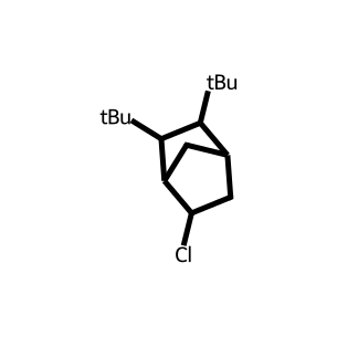 CC(C)(C)C1C2CC(Cl)C(C2)C1C(C)(C)C